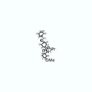 COc1cccc(N(CC(C)C)S(=O)(=O)c2ccc(OCc3ccccc3)cc2)c1